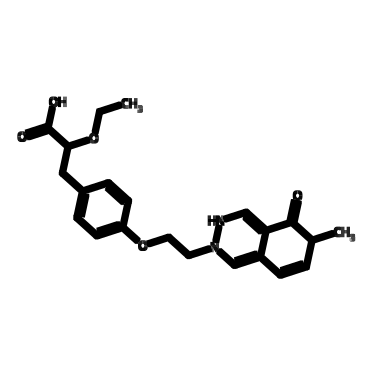 CCOC(Cc1ccc(OCCN2C=C3C=CC(C)C(=O)C3=CN2)cc1)C(=O)O